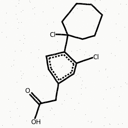 O=C(O)Cc1ccc(C2(Cl)CCCCCC2)c(Cl)c1